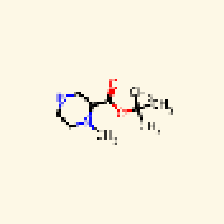 CN1CCNCC1C(=O)OC(C)(C)C